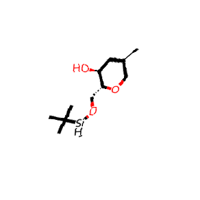 C[C@H]1CO[C@H](CO[SiH](C)C(C)(C)C)[C@@H](O)C1